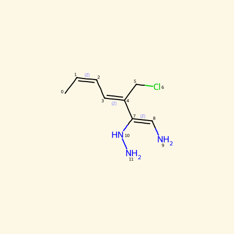 C\C=C/C=C(CCl)/C(=C/N)NN